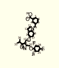 COC(=O)c1cccc(Cn2ccc3cc(OCc4c(COc5c(F)cc(F)cc5F)noc4C(C)C)ccc32)c1